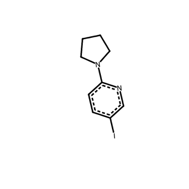 Ic1ccc(N2CCCC2)nc1